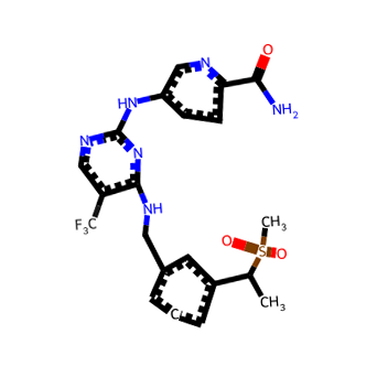 CC(c1cccc(CNc2nc(Nc3ccc(C(N)=O)nc3)ncc2C(F)(F)F)c1)S(C)(=O)=O